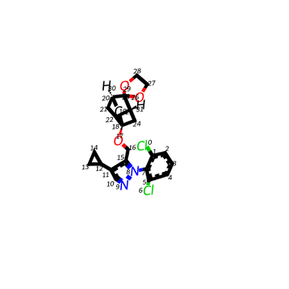 Clc1cccc(Cl)c1-n1ncc(C2CC2)c1CO[C@]12C[C@H]3CC1[C@@H](C2)C31OCCO1